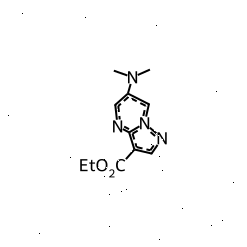 CCOC(=O)c1cnn2cc(N(C)C)cnc12